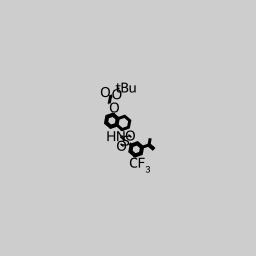 C=C(C)c1cc(C(F)(F)F)cc(S(=O)(=O)NC2CCCc3c(OCC(=O)OC(C)(C)C)cccc32)c1